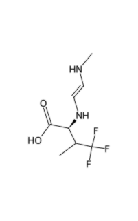 CN/C=C/N[C@H](C(=O)O)C(C)C(F)(F)F